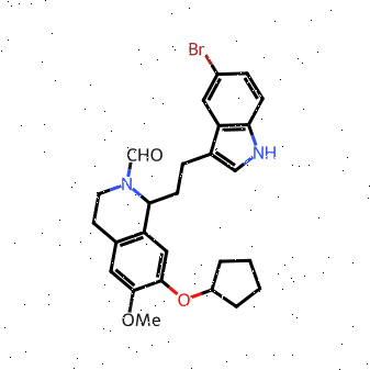 COc1cc2c(cc1OC1CCCC1)C(CCc1c[nH]c3ccc(Br)cc13)N(C=O)CC2